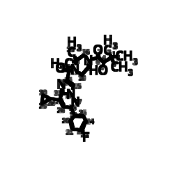 CC(C)(C)C(O)C(=O)N1CCN(C(=O)c2cn3nc(-c4ccc(F)cc4)cc(C4CC4)c3n2)C(C)(C)C1